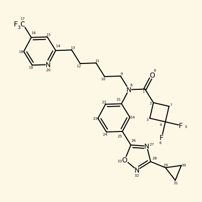 O=C(C1CC(F)(F)C1)N(CCCCCc1cc(C(F)(F)F)ccn1)c1cccc(-c2nc(C3CC3)no2)c1